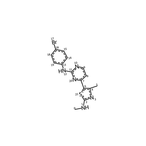 CNc1nc(C)c(-c2ccnc(Nc3ccc(Br)cc3)n2)s1